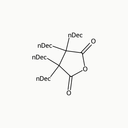 CCCCCCCCCCC1(CCCCCCCCCC)C(=O)OC(=O)C1(CCCCCCCCCC)CCCCCCCCCC